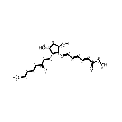 CCCCCC(=O)CC[C@H]1[C@@H](C=CC=CC=CC(=O)OC)[C@H](O)C[C@@H]1O